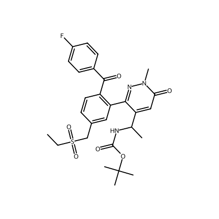 CCS(=O)(=O)Cc1ccc(C(=O)c2ccc(F)cc2)c(-c2nn(C)c(=O)cc2C(C)NC(=O)OC(C)(C)C)c1